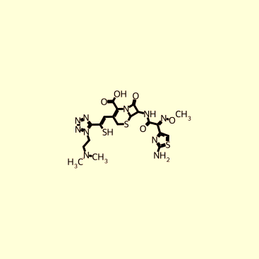 CON=C(C(=O)NC1C(=O)N2C(C(=O)O)=C(C=C(S)c3nnnn3CCN(C)C)CSC12)c1csc(N)n1